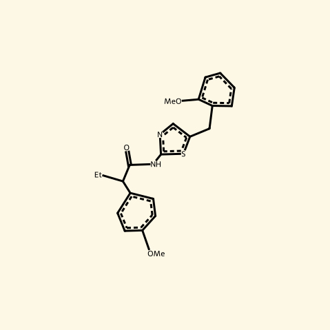 CCC(C(=O)Nc1ncc(Cc2ccccc2OC)s1)c1ccc(OC)cc1